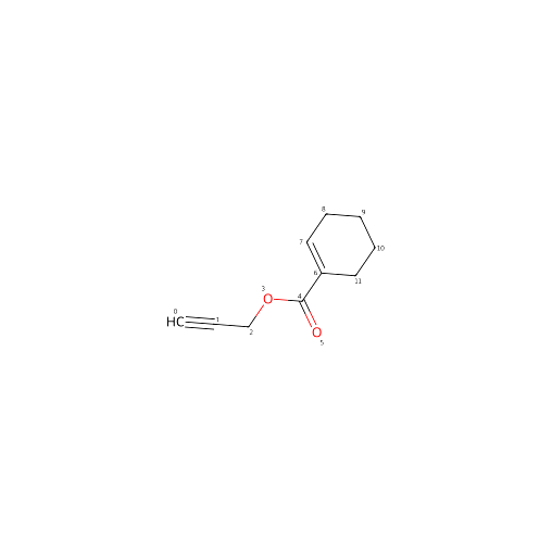 C#CCOC(=O)C1=CCCCC1